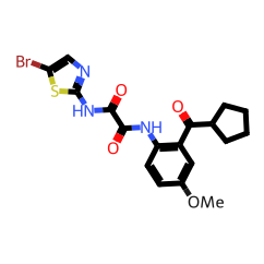 COc1ccc(NC(=O)C(=O)Nc2ncc(Br)s2)c(C(=O)C2CCCC2)c1